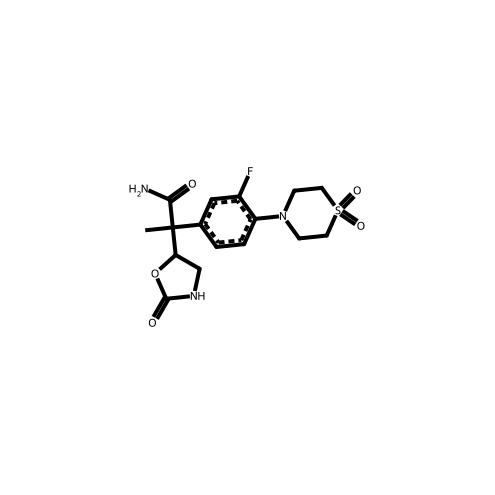 CC(C(N)=O)(c1ccc(N2CCS(=O)(=O)CC2)c(F)c1)C1CNC(=O)O1